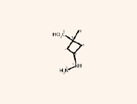 CC1(C(=O)O)CC(NN)C1